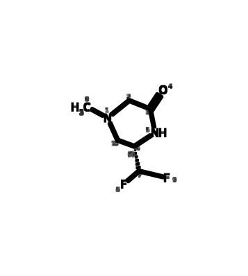 CN1CC(=O)N[C@H](C(F)F)C1